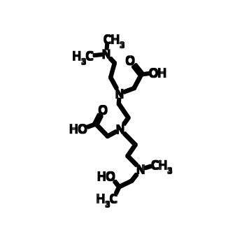 CC(O)CN(C)CCN(CCN(CCN(C)C)CC(=O)O)CC(=O)O